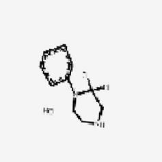 Cl.ClC1(Cl)CNCCN1c1ccccc1